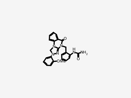 COc1ccccc1N1CN2C(=N1)N(Cc1ccccc1NC(N)=O)C(=O)c1ccccc12